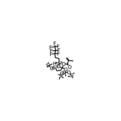 C=C(C)C(=O)OC(CC[SiH2]O[Si](C)(C)C)(O[Si](C)(C)CCC(F)(F)C(F)(F)C(F)(F)F)O[Si](C)(O[Si](C)(C)C)O[Si](C)(C)C